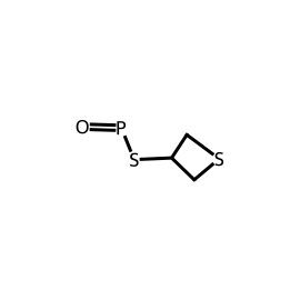 O=PSC1CSC1